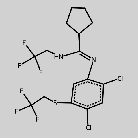 FC(F)(F)CN/C(=N\c1cc(SCC(F)(F)F)c(Cl)cc1Cl)C1CCCC1